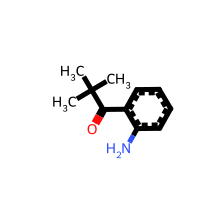 CC(C)(C)C(=O)c1ccccc1N